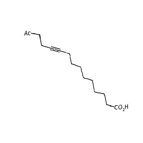 CC(=O)CCC#CCCCCCCCCC(=O)O